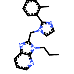 CCCn1c(Cn2ccnc2-c2ccccc2C)nc2cccnc21